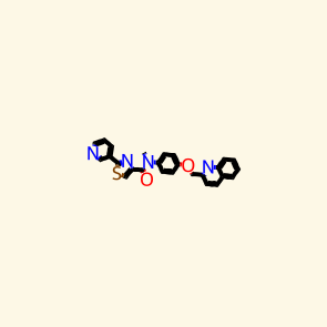 CN(C(=O)c1csc(-c2cccnc2)n1)c1ccc(OCc2ccc3ccccc3n2)cc1